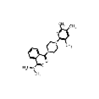 Cc1cc(C)c(N2CCN(C(=O)c3ccccc3C(=O)N(C)C)CC2)nc1C